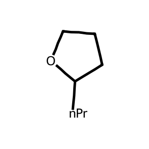 CCCC1CCCO1